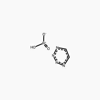 O=[N+]([O-])O.c1cnnnn1